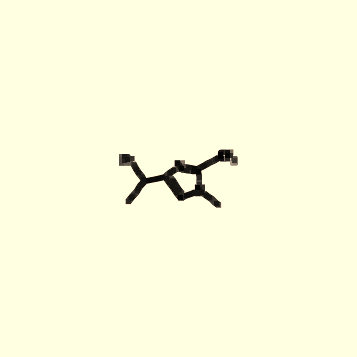 CC(C)C(C)c1cn(C)c(C(F)(F)F)n1